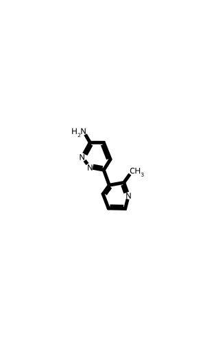 Cc1ncccc1-c1ccc(N)nn1